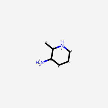 CC1NCCCC1N